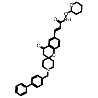 O=C(C=Cc1ccc2c(c1)C(=O)CC1(CCN(Cc3ccc(-c4ccccc4)cc3)CC1)O2)NOC1CCCCO1